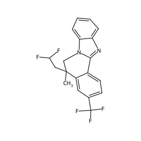 CC1(CC(F)F)Cn2c(nc3ccccc32)-c2ccc(C(F)(F)F)cc21